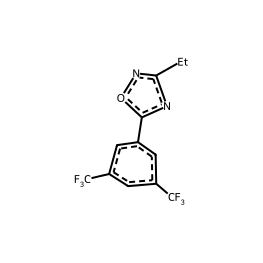 CCc1noc(-c2cc(C(F)(F)F)cc(C(F)(F)F)c2)n1